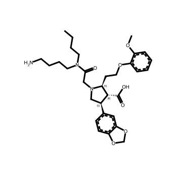 CCCCN(CCCCN)C(=O)CN1C[C@H](c2ccc3c(c2)OCO3)[C@@H](C(=O)O)[C@@H]1CCOc1ccccc1OC